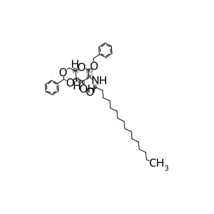 CCCCCCCCCCCCCCCC(=O)N[C@H]1[C@H](OCc2ccccc2)O[C@@H]2COC(c3ccccc3)O[C@H]2[C@@H]1O